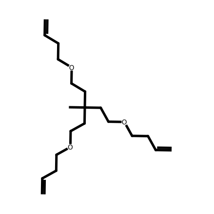 C=CCCOCCC(C)(CCOCCC=C)CCOCCC=C